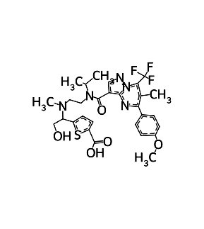 COc1ccc(-c2nc3c(C(=O)N(CCN(C)C(CO)c4ccc(C(=O)O)s4)C(C)C)cnn3c(C(F)(F)F)c2C)cc1